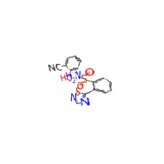 N#Cc1ccccc1O.NS(=O)(=O)c1ccccc1-c1ncns1